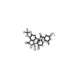 O=C(Nc1cc2c(c3c1C(O)(c1cc(F)ccc1Cl)NC3=O)OC(F)(F)O2)c1cc(F)cc(C(F)(F)F)c1